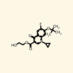 CC(C)(C)Oc1cc2c(cc1F)c(=O)c(C(=O)OCCO)cn2C1CC1